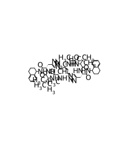 CN[C@@H](C)C(=O)NC(C(=O)N[C@@H](Cc1cn(C/C=C\Cn2cc(C[C@H](NC(=O)[C@@H](NC(=O)[C@H](C)NC)C(C)(C)C)C(=O)N[C@@H]3CCCc4ccccc43)nn2)nn1)C(=O)N[C@@H]1CCCc2ccccc21)C(C)(C)C